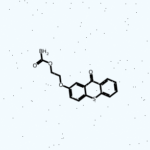 BC(=O)OCCOc1ccc2sc3ccccc3c(=O)c2c1